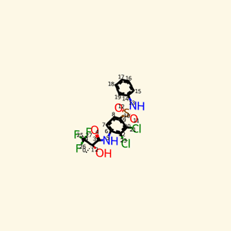 C[C@@](O)(C(=O)Nc1ccc(S(=O)(=O)Nc2ccccc2)c(Cl)c1Cl)C(F)(F)F